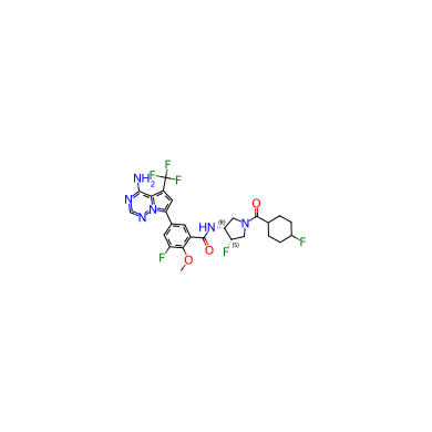 COc1c(F)cc(-c2cc(C(F)(F)F)c3c(N)ncnn23)cc1C(=O)N[C@@H]1CN(C(=O)C2CCC(F)CC2)C[C@@H]1F